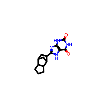 O=c1[nH]c(=O)c2[nH]c(C3CC4CC3C3CCCC43)nc2[nH]1